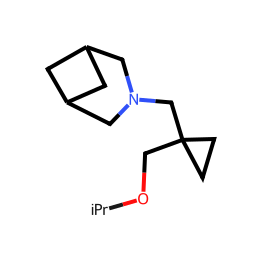 CC(C)OCC1(CN2CC3CC(C3)C2)CC1